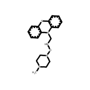 CN1CCN(ONCN2c3ccccc3Sc3ccccc32)CC1